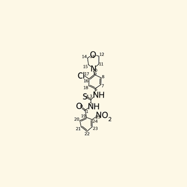 O=C(NC(=S)Nc1ccc(N2CCOCC2)c(Cl)c1)c1ccccc1[N+](=O)[O-]